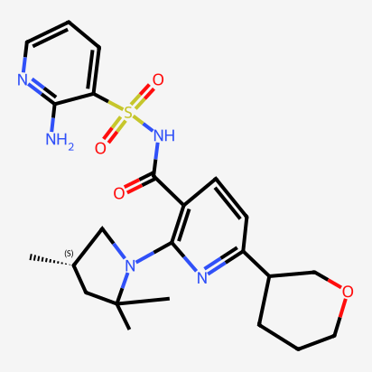 C[C@@H]1CN(c2nc(C3CCCOC3)ccc2C(=O)NS(=O)(=O)c2cccnc2N)C(C)(C)C1